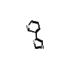 [c]1ncccc1-c1cncs1